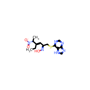 CCC(=CC(CSc1ncnc2nc[nH]c12)=NO)C(C)[N+](=O)[O-]